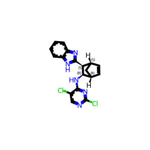 Clc1ncc(Cl)c(N[C@H]2[C@@H](c3nc4ccccc4[nH]3)[C@@H]3C=C[C@H]2C3)n1